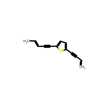 C=CC#Cc1ccc(C#CC=CC)s1